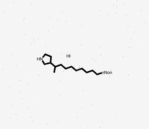 CCCCCCCCCCCCCCCCCC(C)C1CCNC1.I